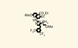 CCOC(=O)N1c2ccc(OC)nc2[C@@H](Nc2ncc(Cc3cc(C(F)(F)F)cc(C(F)(F)F)c3)c(N(C)CCOC)n2)C[C@H]1CC